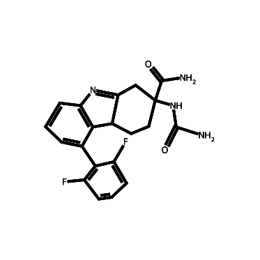 NC(=O)NC1(C(N)=O)CCC2C(=Nc3cccc(-c4c(F)cccc4F)c32)C1